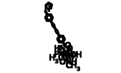 CNC(=O)NC(C)(C(F)F)[C@H](NC(=O)c1ccc(C#CC#Cc2ccc(CN3CCCC3)cc2)cc1)C(=O)NO